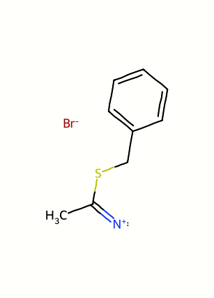 CC(=[N+])SCc1ccccc1.[Br-]